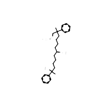 CCC(C)(CCCCC(O)CCCCC(C)(COC=O)c1ccccc1)c1ccccc1